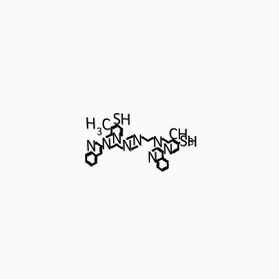 Cc1c(S)ccnc1CN(CCCN1CCN(CCCN(Cc2nccc(S)c2C)c2cnc3ccccc3c2)CC1)c1cnc2ccccc2c1